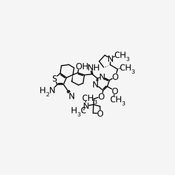 COc1c(OCC2(N(C)C)COC2)nc(C(=N)C2=C(O)[C@@]3(CCC2)CCCc2sc(N)c(C#N)c23)nc1O[C@@H](C)[C@@H]1CCCN1C